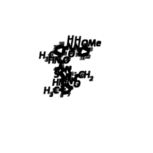 C=CC(=O)Nc1cccc(C)c1Nc1ncnc2c(C(=O)Nc3cc(NC(=O)Nc4ccccc4OC)ccc3C)csc12